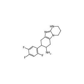 NC1Cc2c(nc3n2CCCN3)CC1c1cc(F)c(F)cc1F